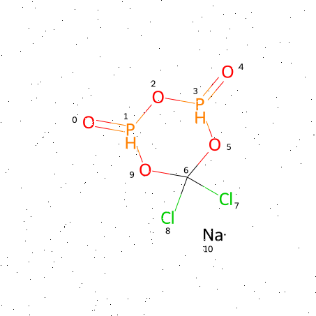 O=[PH]1O[PH](=O)OC(Cl)(Cl)O1.[Na]